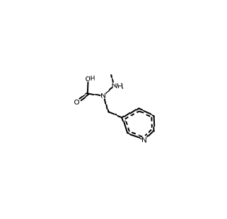 CNN(Cc1cccnc1)C(=O)O